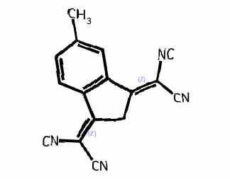 [C-]#[N+]/C(C#N)=C1/C/C(=C(\C#N)[N+]#[C-])c2cc(C)ccc21